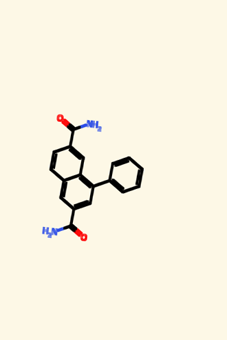 NC(=O)c1cc(-c2ccccc2)c2cc(C(N)=O)ccc2c1